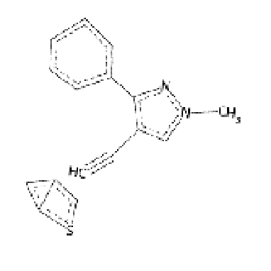 C#Cc1cn(C)nc1-c1ccccc1.c1sc2cc1-2